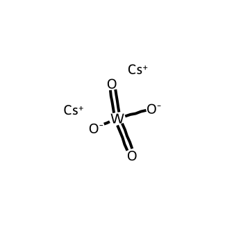 [Cs+].[Cs+].[O]=[W](=[O])([O-])[O-]